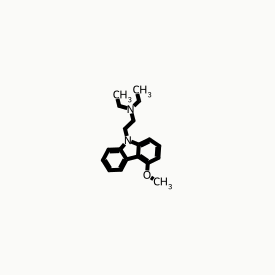 CCN(CC)CCn1c2ccccc2c2c(OC)cccc21